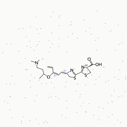 C=C/C(=C\C=C1/CSC(C2=N[C@@H](C(=O)O)CS2)=N1)OC(C)CCN(C)C